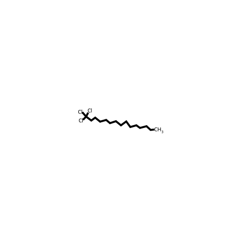 CCCCCCCCCCCCCCC(Cl)(Cl)Cl